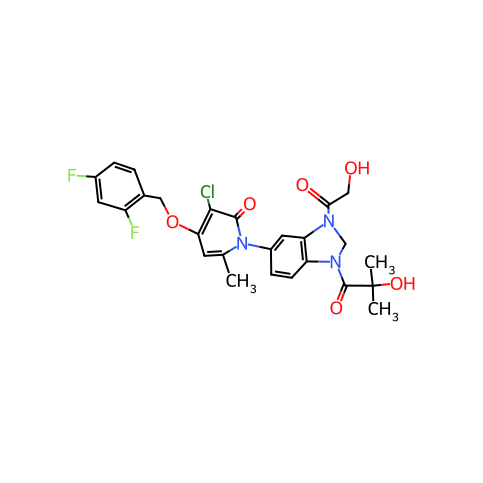 Cc1cc(OCc2ccc(F)cc2F)c(Cl)c(=O)n1-c1ccc2c(c1)N(C(=O)CO)CN2C(=O)C(C)(C)O